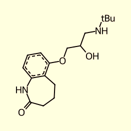 CC(C)(C)NCC(O)COc1cccc2c1CCCC(=O)N2